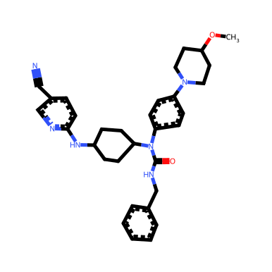 COC1CCN(c2ccc(N(C(=O)NCc3ccccc3)C3CCC(Nc4ccc(C#N)cn4)CC3)cc2)CC1